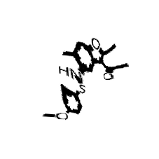 COc1ccc(SNc2cc3c(C(C)=O)c(C)oc3cc2C)cc1